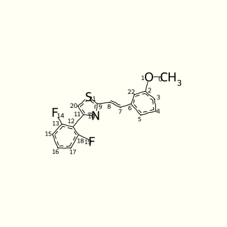 COc1cccc(C=Cc2nc(-c3c(F)cccc3F)cs2)c1